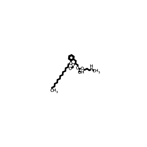 CCCCCCCCCCCCCCOc1ccccc1CC(COP(O)OCCCNC)OC=O